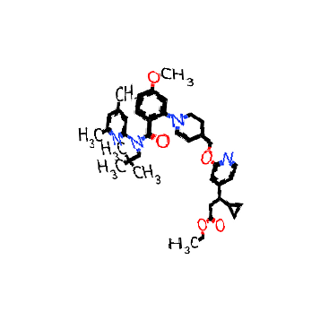 CCOC(=O)CC(c1ccnc(OCC2CCN(c3cc(OC)ccc3C(=O)N(CC(C)(C)C)c3cc(C)cc(C)n3)CC2)c1)C1CC1